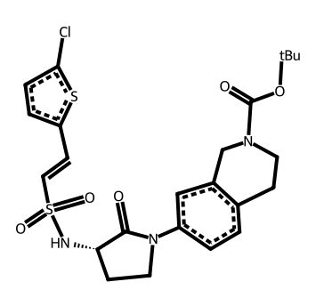 CC(C)(C)OC(=O)N1CCc2ccc(N3CC[C@H](NS(=O)(=O)C=Cc4ccc(Cl)s4)C3=O)cc2C1